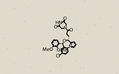 COc1cccc([C@H]2O[C@H](CCC(=O)N3CC(=O)NC(=O)C3)c3cccn3-c3ccc(Cl)cc32)c1OC